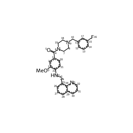 COc1cc(C(=O)N2CCN(Cc3cccc(F)c3)CC2)ccc1NSc1cccc2cccnc12